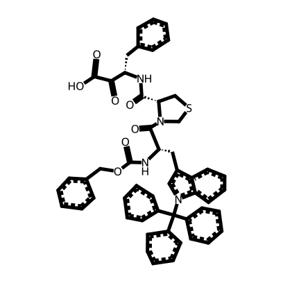 O=C(N[C@@H](Cc1cn(C(c2ccccc2)(c2ccccc2)c2ccccc2)c2ccccc12)C(=O)N1CSC[C@H]1C(=O)N[C@@H](Cc1ccccc1)C(=O)C(=O)O)OCc1ccccc1